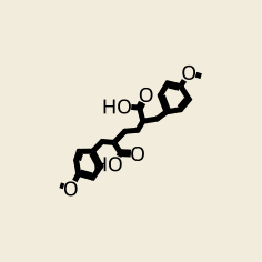 COc1ccc(CC(CCC(Cc2ccc(OC)cc2)C(=O)O)C(=O)O)cc1